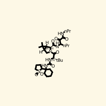 CCCNC(=O)C(=O)C(CCC)NC(=O)[C@@H]1[C@@H]2[C@H](CN1C(=O)[C@@H](NC(=O)NC1(C3CCCS3(=O)=O)CCCCC1)C(C)(C)C)C2(C)C